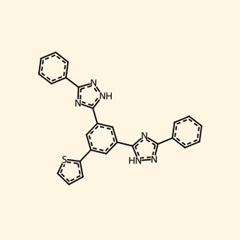 c1ccc(-c2n[nH]c(-c3cc(-c4nc(-c5ccccc5)n[nH]4)cc(-c4cccs4)c3)n2)cc1